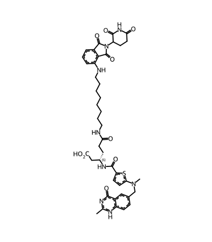 Cc1nc(=O)c2cc(CN(C)c3ccc(C(=O)N[C@@H](CCC(=O)NCCCCCCCCNc4cccc5c4C(=O)N(C4CCC(=O)NC4=O)C5=O)CC(=O)O)s3)ccc2[nH]1